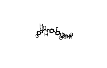 COc1ccc2[nH]c(C(=O)NCc3ccc(-c4ccc(N5C[C@H](CNC(C)=O)OC5=O)cc4F)cc3)cc2c1